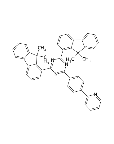 CC1(C)c2ccccc2-c2cccc(-c3nc(-c4ccc(-c5ccccn5)cc4)nc(-c4cccc5c4C(C)(C)c4ccccc4-5)n3)c21